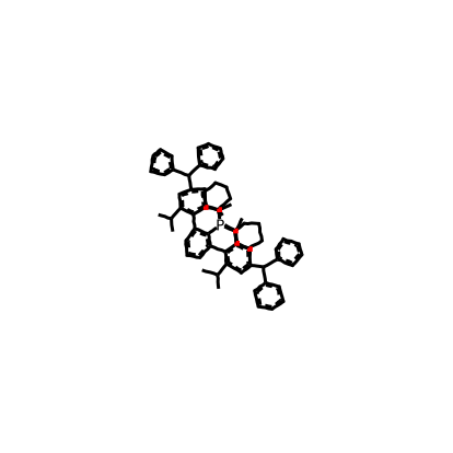 CC(C)c1cc(C(c2ccccc2)c2ccccc2)cc(C(C)C)c1-c1cccc(-c2c(C(C)C)cc(C(c3ccccc3)c3ccccc3)cc2C(C)C)c1P(C1CCCCC1)C1CCCCC1